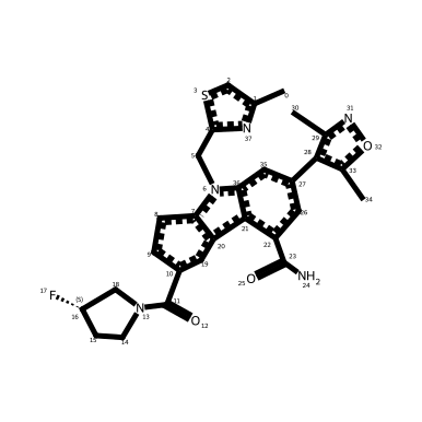 Cc1csc(Cn2c3ccc(C(=O)N4CC[C@H](F)C4)cc3c3c(C(N)=O)cc(-c4c(C)noc4C)cc32)n1